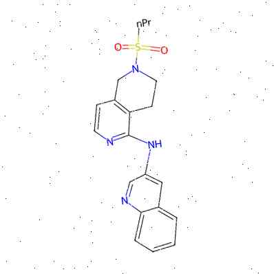 CCCS(=O)(=O)N1CCc2c(ccnc2Nc2cnc3ccccc3c2)C1